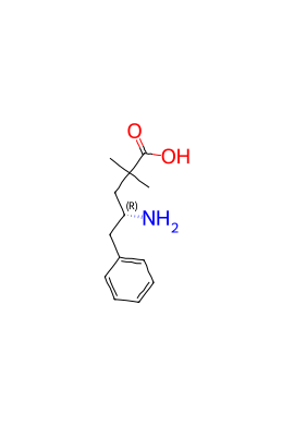 CC(C)(C[C@H](N)Cc1ccccc1)C(=O)O